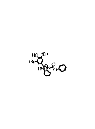 CC(C)(C)c1cc(C(=O)Nc2ccccc2NC(=O)Oc2ccccc2)cc(C(C)(C)C)c1O